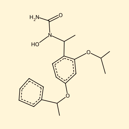 CC(C)Oc1cc(OC(C)c2ccccc2)ccc1C(C)N(O)C(N)=O